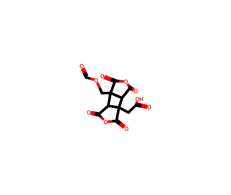 O=COCC12C(=O)OC(=O)C1C1(CC(=O)O)C(=O)OC(=O)C21